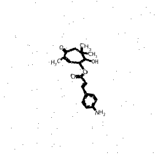 CC1=CC(OC(=O)C=Cc2ccc(N)cc2)C(O)C(C)(C)CC1=O